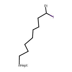 CCCCCCCCCCCCCCC(I)CC